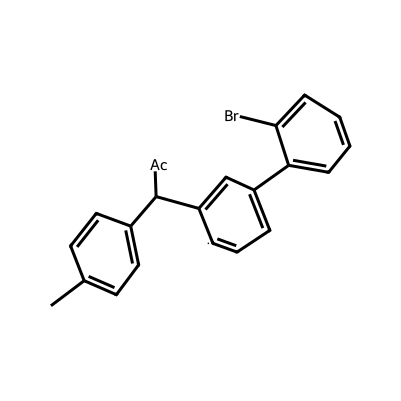 CC(=O)C(c1[c]ccc(-c2ccccc2Br)c1)c1ccc(C)cc1